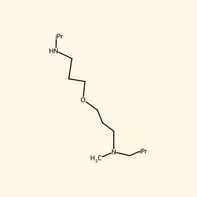 CC(C)CN(C)CCCOCCCNC(C)C